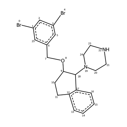 Brc1cc(Br)cc(COC2CCc3ccccc3C2N2CCNCC2)c1